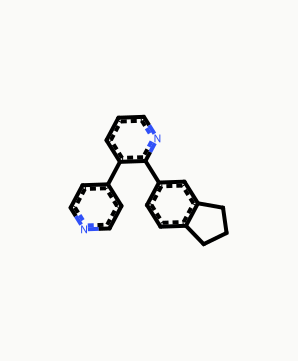 c1cnc(-c2ccc3c(c2)CCC3)c(-c2ccncc2)c1